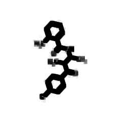 Cc1ccccc1C(=O)NC(C)C(C)C(=O)c1ccc(Cl)cc1